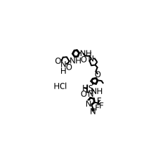 CCc1cc([SH]2NN(c3cnc(C#N)c(C(F)(F)F)c3)C(=O)C2(C)C)ccc1OCCC1CCN([C@@H](C)C(=O)Nc2cccc(N[C@H]3CCC(=O)NC3=O)c2)CC1.Cl